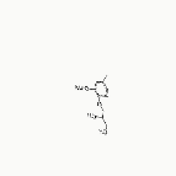 COc1cc(C)ccc1OC[C@H](O)CO